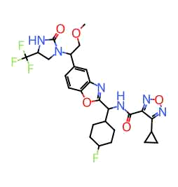 COCC(c1ccc2oc(C(NC(=O)c3nonc3C3CC3)C3CCC(F)CC3)nc2c1)N1CC(C(F)(F)F)NC1=O